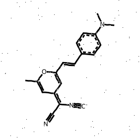 [C-]#[N+]/C(C#N)=C1/C=C(C)OC(/C=C/c2ccc(N(C)C)cc2)=C1